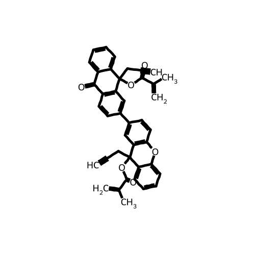 C#CCC1(OC(=O)C(=C)C)c2ccccc2Oc2ccc(-c3ccc4c(c3)C(CC#C)(OC(=O)C(=C)C)c3ccccc3C4=O)cc21